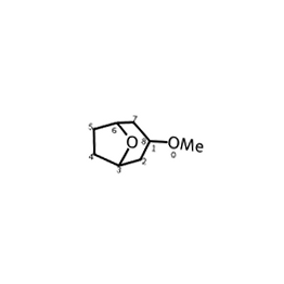 COC1CC2CCC(C1)O2